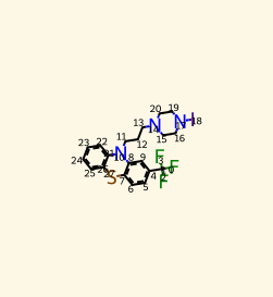 FC(F)(F)c1ccc2c(c1)N(CCCN1CCN(I)CC1)c1ccccc1S2